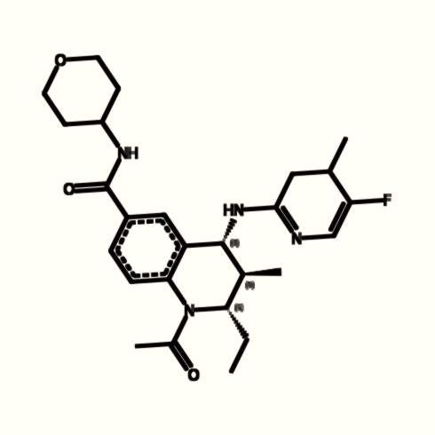 CC[C@H]1[C@H](C)[C@@H](NC2=NC=C(F)C(C)C2)c2cc(C(=O)NC3CCOCC3)ccc2N1C(C)=O